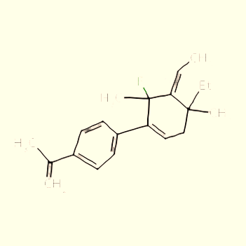 C=C(C)c1ccc(C2=CCC(C)(CC)/C(=C\C)C2(C)F)cc1